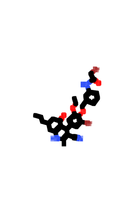 CCCC1CC(=O)C2=C(C1)NC(C)=C(C#N)C2c1cc(Br)c(OCc2cccc(NC(=O)CBr)c2)c(OCC)c1